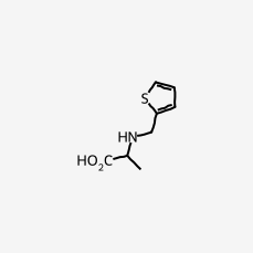 CC(NCc1cccs1)C(=O)O